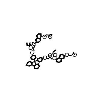 C=CC(=O)OC(COc1ccc(C2(c3ccc(OCC(COc4cccc5cc(OCC6CO6)ccc45)OC(=O)C=C)cc3)c3ccccc3-c3ccccc32)cc1)COc1ccc2c(OCC3CO3)cccc2c1